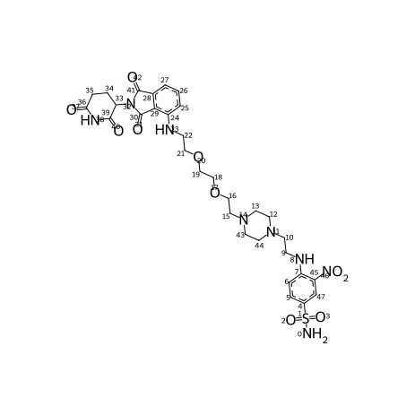 NS(=O)(=O)c1ccc(NCCN2CCN(CCOCCOCCNc3cccc4c3C(=O)N(C3CCC(=O)NC3=O)C4=O)CC2)c([N+](=O)[O-])c1